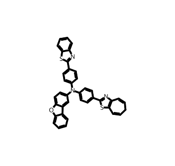 C1=Cc2nc(-c3ccc(N(c4ccc(-c5nc6ccccc6s5)cc4)c4ccc5oc6ccccc6c5c4)cc3)sc2C=CC1